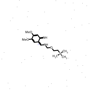 COC1=CC(=N)/C(=C\NCOCC[Si](C)(C)C)C=C1OC